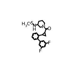 CSNC1CCCN(C(=O)C2CC2c2ccccc2-c2cc(F)cc(F)c2)C1